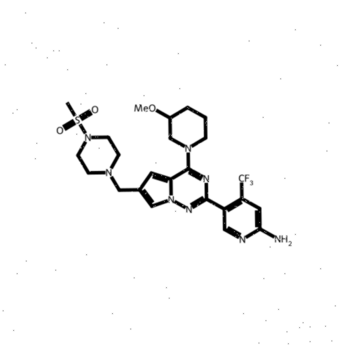 COC1CCCN(c2nc(-c3cnc(N)cc3C(F)(F)F)nn3cc(CN4CCN(S(C)(=O)=O)CC4)cc23)C1